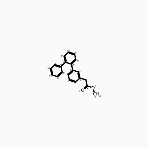 COC(=O)Cc1cccc(-c2ccccc2-c2ccccc2)c1